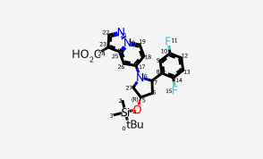 CC(C)(C)[Si](C)(C)O[C@@H]1CC(c2cc(F)ccc2F)N(c2ccn3ncc(C(=O)O)c3c2)C1